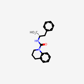 O=C(O)[C@H](Cc1ccccc1)NC(=O)N1CCCc2ccccc21